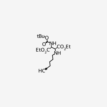 C#CCCCCN[C@H](C(=O)OCC)[C@H](NC(=O)OC(C)(C)C)C(=O)OCC